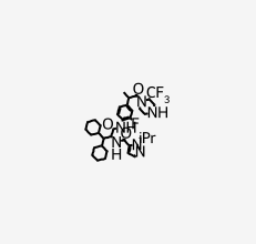 CC(C(=O)N1CCNCC1C(F)(F)F)c1ccc(NC(=O)C(NC(=O)c2ccnn2C(C)C)C(C2CCCCC2)C2CCCCC2)c(F)c1